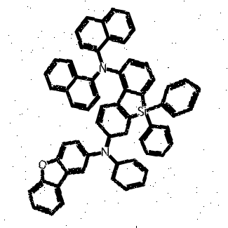 C1=CCC(N(c2ccc3oc4ccccc4c3c2)C2C=CC3=C(C2)[Si](c2ccccc2)(c2ccccc2)c2cccc(N(c4cccc5ccccc45)c4cccc5ccccc45)c23)C=C1